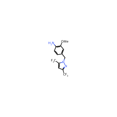 COc1cc(Cn2nc(C(F)(F)F)cc2C(F)(F)F)ccc1N